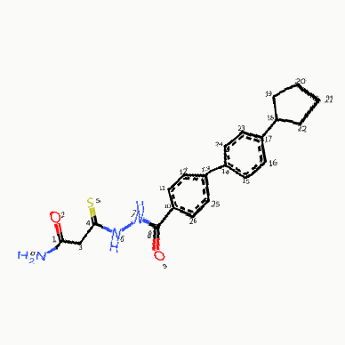 NC(=O)CC(=S)NNC(=O)c1ccc(-c2ccc(C3CCCC3)cc2)cc1